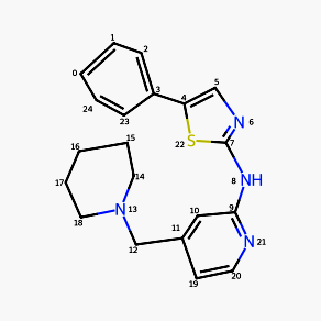 c1ccc(-c2cnc(Nc3cc(CN4CCCCC4)ccn3)s2)cc1